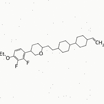 C=CC1CCC(C2CCC(CCC3CCC(c4ccc(OCC)c(F)c4F)CO3)CC2)CC1